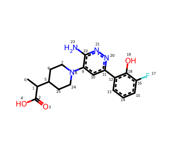 CC(C(=O)O)C1CCN(c2cc(-c3cccc(F)c3O)nnc2N)CC1